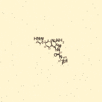 Nc1nc2cc(-c3cc[nH]n3)ccc2c2cn(CC(=O)N3CC(F)(F)C3)nc12